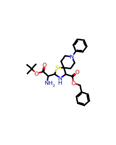 CC(C)(C)OC(=O)C(N)C1NC(C(=O)OCc2ccccc2)C2(CCN(c3ccccc3)CC2)S1